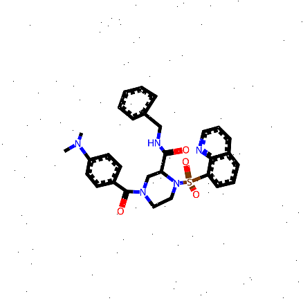 CN(C)c1ccc(C(=O)N2CCN(S(=O)(=O)c3cccc4cccnc34)C(C(=O)NCc3ccccc3)C2)cc1